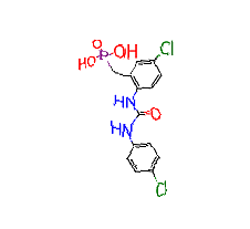 O=C(Nc1ccc(Cl)cc1)Nc1ccc(Cl)cc1CP(=O)(O)O